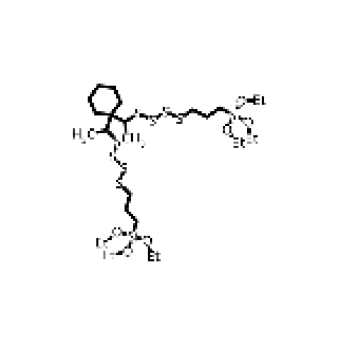 CCO[Si](CCCSSSSC(C)C1(C(C)SSSSCCC[Si](OCC)(OCC)OCC)CCCCC1)(OCC)OCC